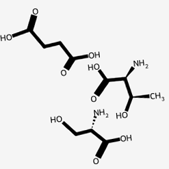 C[C@@H](O)[C@H](N)C(=O)O.N[C@@H](CO)C(=O)O.O=C(O)CCC(=O)O